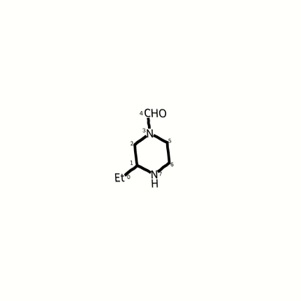 CCC1CN(C=O)CCN1